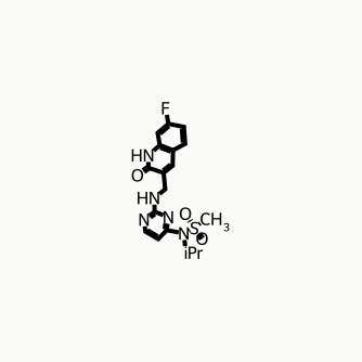 CC(C)N(c1ccnc(NCc2cc3ccc(F)cc3[nH]c2=O)n1)S(C)(=O)=O